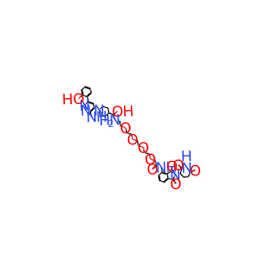 Nc1nnc(-c2ccccc2O)cc1N1CCC(C(O)NCCOCCOCCOCCOCC(=O)Nc2cccc3c2C(=O)N(C2CCC(=O)NC2=O)C3=O)CC1